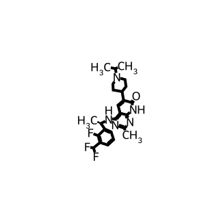 Cc1nc(N[C@H](C)c2cccc(C(F)F)c2F)c2cc(C3CCN(C(C)C)CC3)c(=O)[nH]c2n1